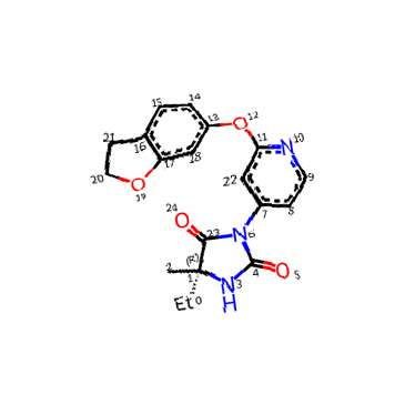 CC[C@@]1(C)NC(=O)N(c2ccnc(Oc3ccc4c(c3)OCC4)c2)C1=O